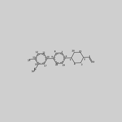 C=CC1CCC(c2ccc(-c3ccc(C)c(F)c3)cc2)CC1